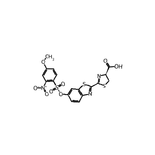 COc1ccc(S(=O)(=O)Oc2ccc3nc(C4=N[C@@H](C(=O)O)CS4)sc3c2)c([N+](=O)[O-])c1